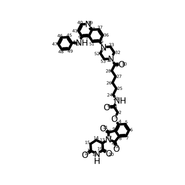 O=C(COc1cccc2c1C(=O)N(C1CCC(=O)NC1=O)C2=O)NCCCCCC(=O)N1CCN(c2ccc3nccc(Nc4ccccc4)c3c2)CC1